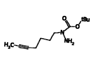 CC#CCCCCN(N)C(=O)OC(C)(C)C